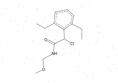 CCc1cccc(CC)c1C(Cl)C(=O)NCOC